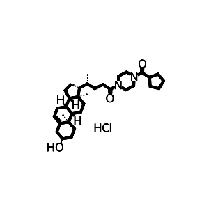 C[C@H](CCC(=O)N1CCN(C(=O)C2CCCC2)CC1)[C@H]1CC[C@H]2[C@@H]3CC=C4C[C@@H](O)CC[C@]4(C)[C@H]3CC[C@]12C.Cl